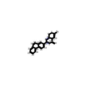 C=C/C=C(\C=C1\CCC(I)=CC1C)c1ccc2c(ccc3ccccc32)c1